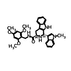 COc1cc(OC)c(CNC(=O)[C@H]2Cc3c([nH]c4ccccc34)[C@H](c3cn(C)c4ccccc34)N2)c(OC)c1